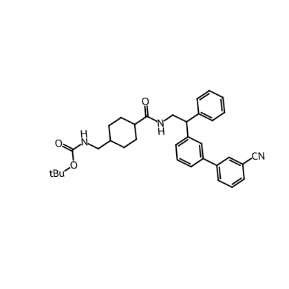 CC(C)(C)OC(=O)NCC1CCC(C(=O)NCC(c2ccccc2)c2cccc(-c3cccc(C#N)c3)c2)CC1